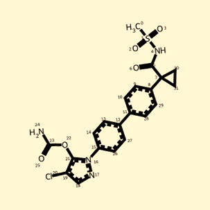 CS(=O)(=O)NC(=O)C1(c2ccc(-c3ccc(-n4ncc(Cl)c4OC(N)=O)cc3)cc2)CC1